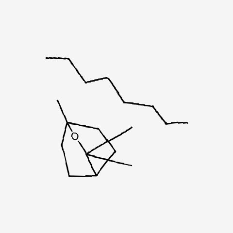 CC12CCC(CC1)C(C)(C)O2.CCCCCCCC